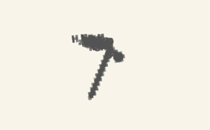 CCCCCCCCCCCCCCCCCCOC[C@](C)(COP(=O)(O)OC1[C@H]2O[C@@](C#N)(c3ccc4c(N)ncnn34)[C@H](O)[C@@]12O)OCc1ccccc1